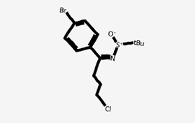 CC(C)(C)[S+]([O-])/N=C(/CCCCl)c1ccc(Br)cc1